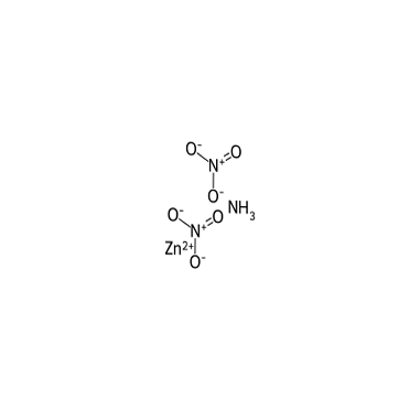 N.O=[N+]([O-])[O-].O=[N+]([O-])[O-].[Zn+2]